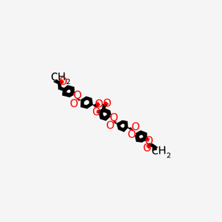 C=CC(=O)Cc1ccc(OC(=O)[C@H]2CC[C@H](C(=O)Oc3ccc(OC(=O)[C@H]4CC[C@H](C(=O)Oc5ccc(OC(=O)C=C)cc5)CC4)cc3C=O)CC2)cc1